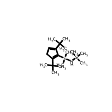 CC(C)(C)C1=CCC(C(C)(C)C)=C1[Si](C)(C)N[Si](C)(C)C